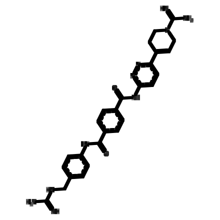 N=C(N)NCc1ccc(NC(=O)c2ccc(C(=O)Nc3ccc(C4=CCN(C(=N)N)CC4)nn3)cc2)cc1